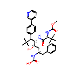 COC(=O)N[C@H](C(=O)N[C@@H](C(c1ccc(-c2cccnc2)cc1)C(C)(C)C)[C@@H](O)C[C@H](Cc1ccccc1)NC(=O)O)C(C)(C)C